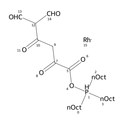 CCCCCCCC[PH](CCCCCCCC)(CCCCCCCC)OC(=O)C(=O)CC(=O)C(C=O)C=O.[Rh]